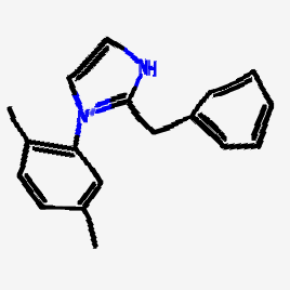 Cc1ccc(C)c(-[n+]2cc[nH]c2Cc2ccccc2)c1